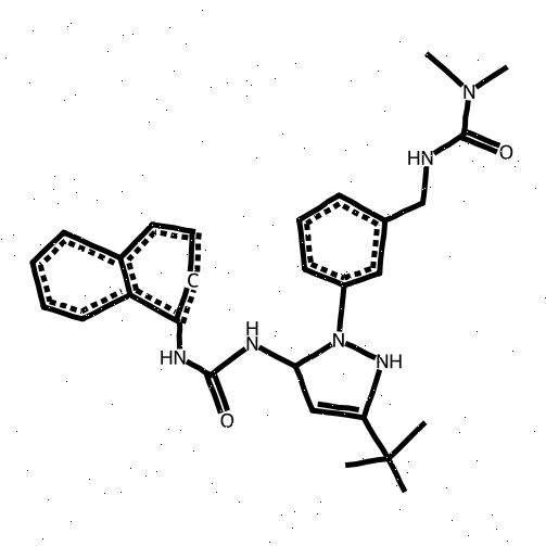 CN(C)C(=O)NCc1cccc(N2NC(C(C)(C)C)=CC2NC(=O)Nc2cccc3ccccc23)c1